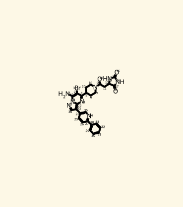 Nc1c(Br)c(C2CCN(C(=O)CC3NC(=O)NC3=O)CC2)nc2c(-c3ccc(-c4ccccc4)nc3)cnn12